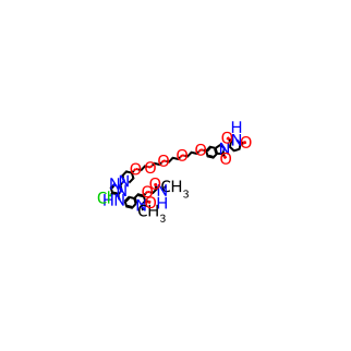 CNC(=O)COc1cc2cc(Nc3nc(N4CCC(OCCOCCOCCCOCCCOc5ccc6c(c5)CN(C5CCC(=O)NC5=O)C6=O)CC4)ncc3Cl)ccc2n(C)c1=O